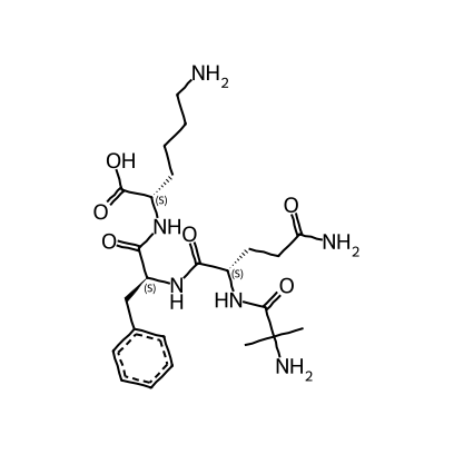 CC(C)(N)C(=O)N[C@@H](CCC(N)=O)C(=O)N[C@@H](Cc1ccccc1)C(=O)N[C@@H](CCCCN)C(=O)O